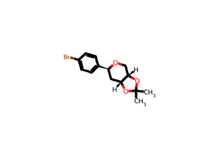 CC1(C)O[C@H]2CO[C@H](c3ccc(Br)cc3)C[C@H]2O1